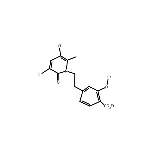 CCOC(=O)c1ccc(CCn2c(C)c(Cl)cc(Cl)c2=O)cc1OCC